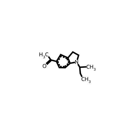 CCC(C)N1CCc2cc(C(C)=O)ccc21